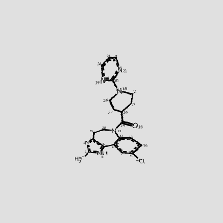 Cc1nc2c([nH]1)-c1cc(Cl)ccc1N(C(=O)C1CCN(c3ncccn3)CC1)CC2